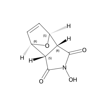 O=C1[C@@H]2[C@H](C(=O)N1O)[C@H]1C=C[C@@H]2O1